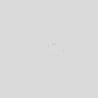 O.O.O.[F][GaH2]